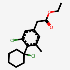 CCOC(=O)Cc1cc(C)c(C2(Cl)CCCCC2)c(Cl)c1